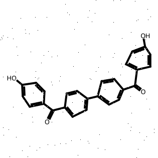 O=C(c1ccc(O)cc1)c1ccc(-c2ccc(C(=O)c3ccc(O)cc3)cc2)cc1